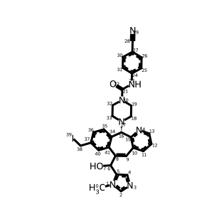 Cn1cncc1C(O)C1=Cc2cccnc2[C@@H](N2CCN(C(=O)Nc3ccc(C#N)cc3)CC2)c2ccc(CI)cc21